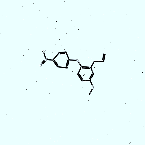 C=CCc1cc(SC)ccc1Oc1ccc([N+](=O)[O-])cc1